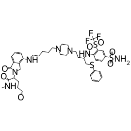 CNC(=O)C(CCC=O)N1Cc2c(NCCCCCN3CCN(CCC(CSc4ccccc4)Nc4ccc(S(N)(=O)=O)cc4S(=O)(=O)C(F)(F)F)CC3)cccc2C1=O